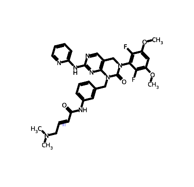 COc1cc(OC)c(F)c(N2Cc3cnc(Nc4ccccn4)nc3N(Cc3cccc(NC(=O)/C=C/CN(C)C)c3)C2=O)c1F